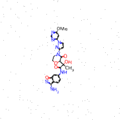 COc1cc(-n2ccc(N3CCOC(C(C)(O)C(=O)Nc4ccc5c(N)noc5c4)C3=O)n2)ncn1